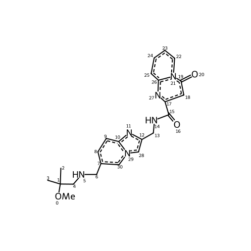 COC(C)(C)CNCc1ccc2nc(CNC(=O)c3cc(=O)n4ccccc4n3)cn2c1